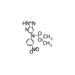 CC(C)OC(=O)N(c1cccc([N+](=O)[O-])c1)c1cnc2[nH]cnc2c1